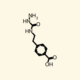 NNC(=O)NCCc1ccc(C(=O)O)cc1